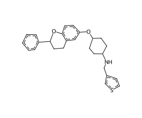 c1ccc(C2CCc3cc(OC4CCC(NCc5ccsc5)CC4)ccc3O2)cc1